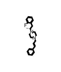 C[C@H](Cc1ccccc1F)N1CCN(C/C=C/c2ccccc2)CC1